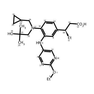 CCOc1ncc(Nc2cc([C@H](CC)CC(=O)O)ccc2N(CC2CC2)CC(C)(C)O)cn1